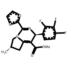 COC(=O)C1=C2C[C@H](C)CN2C(c2nccs2)=N[C@H]1c1ccc(F)c(F)c1F